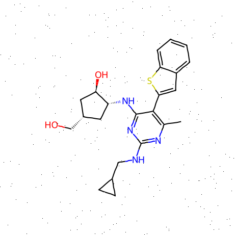 Cc1nc(NCC2CC2)nc(N[C@@H]2C[C@H](CO)C[C@H]2O)c1-c1cc2ccccc2s1